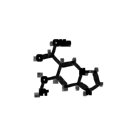 COC(=O)c1cn2ccnc2cc1OC(C)C